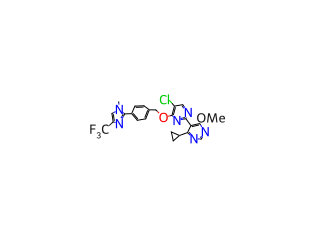 COc1ncnc(C2CC2)c1-c1ncc(Cl)c(OCc2ccc(-c3nc(C(F)(F)F)cn3C)cc2)n1